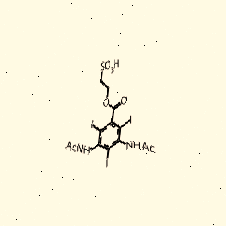 CC(=O)Nc1c(I)c(NC(C)=O)c(I)c(C(=O)OCCS(=O)(=O)O)c1I